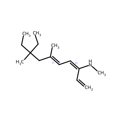 C=C/C(=C\C=C(/C)CC(C)(CC)CC)NC